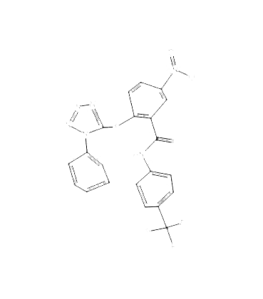 O=C(Nc1ccc(C(F)(F)F)cc1)c1cc([N+](=O)[O-])ccc1Sc1nnnn1-c1ccccc1